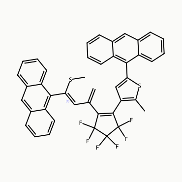 C=C(/C=C(\SC)c1c2ccccc2cc2ccccc12)C1=C(c2cc(-c3c4ccccc4cc4ccccc34)sc2C)C(F)(F)C(F)(F)C1(F)F